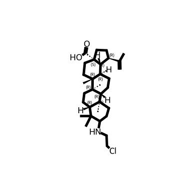 C=C(C)[C@@H]1CC[C@]2(C(=O)O)CC[C@]3(C)[C@H](CC[C@@H]4[C@@]5(C)CCC(NCCCl)C(C)(C)[C@@H]5CC[C@]43C)[C@@H]12